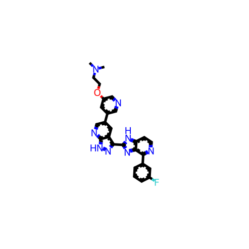 CN(C)CCOc1cncc(-c2cnc3[nH]nc(-c4nc5c(-c6cccc(F)c6)nccc5[nH]4)c3c2)c1